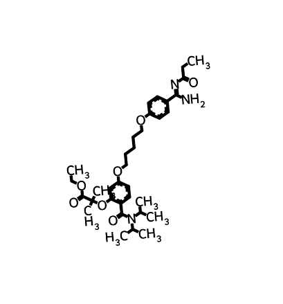 CCOC(=O)C(C)(C)Oc1cc(OCCCCCOc2ccc(C(N)=NC(=O)CC)cc2)ccc1C(=O)N(C(C)C)C(C)C